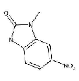 CN1C(=O)[N]c2ccc([N+](=O)[O-])cc21